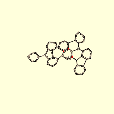 CC12c3ccccc3-c3cccc(c31)N(c1ccccc1-c1ccccc1)c1ccc(-c3cccc4c3c3ccccc3n4-c3ccccc3)cc12